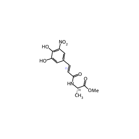 COC(=O)[C@H](C)NC(=O)/C=C/c1cc(O)c(O)c([N+](=O)[O-])c1